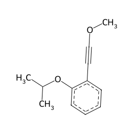 COC#Cc1ccccc1OC(C)C